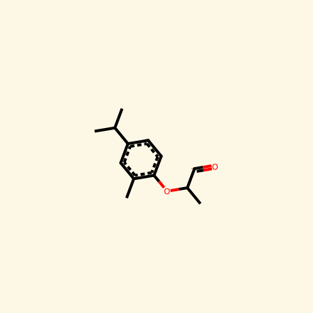 Cc1cc(C(C)C)ccc1OC(C)[C]=O